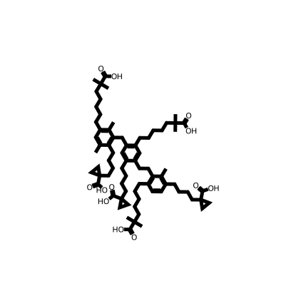 Cc1cc(CCCCCC(C)(C)C(=O)O)c(C)c(Cc2cc(CCCCC3(C(=O)O)CC3)c(CCc3c(CCCCCC(C)(C)C(=O)O)ccc(CCCCC4(C(=O)O)CC4)c3C)cc2CCCCCC(C)(C)C(=O)O)c1CCCCC1(C(=O)O)CC1